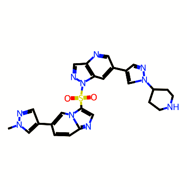 Cn1cc(-c2ccc3ncc(S(=O)(=O)n4ncc5ncc(-c6cnn(C7CCNCC7)c6)cc54)n3c2)cn1